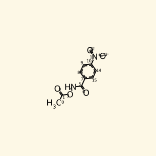 CC(=O)ONC(=O)c1ccc([N+](=O)[O-])cc1